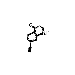 C#Cc1ccc2c(=O)n[c][nH]c2c1